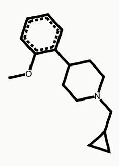 COc1ccccc1C1CCN(CC2CC2)CC1